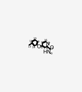 CNC(=O)c1cc(Oc2cccc(C)c2)ccn1